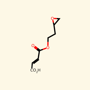 O=C(O)C=CC(=O)OCCC1CO1